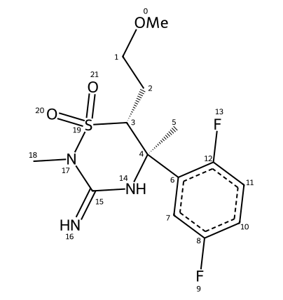 COCC[C@@H]1[C@@](C)(c2cc(F)ccc2F)NC(=N)N(C)S1(=O)=O